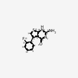 Nc1nc(=O)c2c(-c3ccccc3F)csc2[nH]1